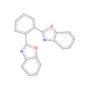 c1ccc(-c2nc3ccccc3o2)c(-c2nc3ccccc3o2)c1